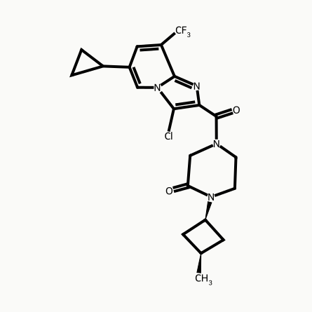 C[C@H]1C[C@@H](N2CCN(C(=O)c3nc4c(C(F)(F)F)cc(C5CC5)cn4c3Cl)CC2=O)C1